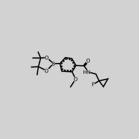 COc1cc(B2OC(C)(C)C(C)(C)O2)ccc1C(=O)NCC1(F)CC1